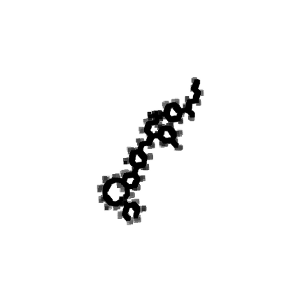 C=C/C=C\C=C(/C)c1ccc(NC/C=C\C(=C/Cc2ccc(C3=CC4C/C=C\C=C/CN(C(/C=C\C)=C/C)CC4C=C3)cc2)c2cccc(C)c2)cc1